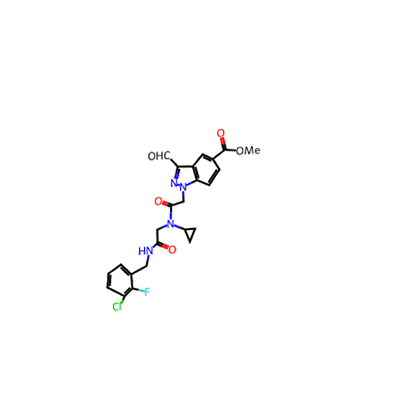 COC(=O)c1ccc2c(c1)c(C=O)nn2CC(=O)N(CC(=O)NCc1cccc(Cl)c1F)C1CC1